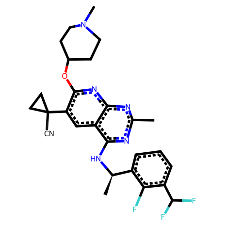 Cc1nc(N[C@H](C)c2cccc(C(F)F)c2F)c2cc(C3(C#N)CC3)c(OC3CCN(C)CC3)nc2n1